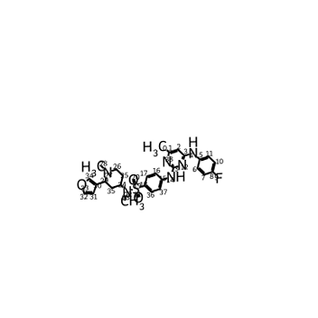 Cc1cc(Nc2ccc(F)cc2)nc(Nc2ccc(S(=O)(=O)N(C)C3CCN(C)C(c4ccoc4)C3)cc2)n1